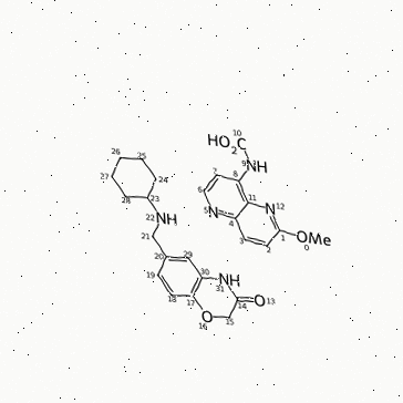 COc1ccc2nccc(NC(=O)O)c2n1.O=C1COc2ccc(CNC3CCCCC3)cc2N1